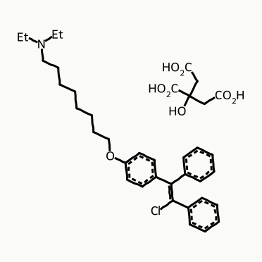 CCN(CC)CCCCCCCCOc1ccc(/C(=C(\Cl)c2ccccc2)c2ccccc2)cc1.O=C(O)CC(O)(CC(=O)O)C(=O)O